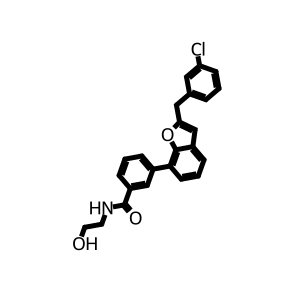 O=C(NCCO)c1cccc(-c2cccc3cc(Cc4cccc(Cl)c4)oc23)c1